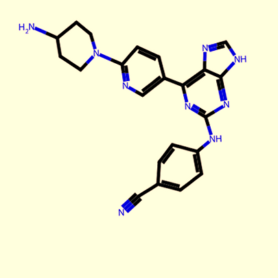 N#Cc1ccc(Nc2nc(-c3ccc(N4CCC(N)CC4)nc3)c3nc[nH]c3n2)cc1